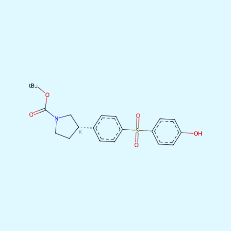 CC(C)(C)OC(=O)N1CC[C@@H](c2ccc(S(=O)(=O)c3ccc(O)cc3)cc2)C1